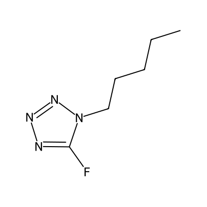 CCCCCn1nnnc1F